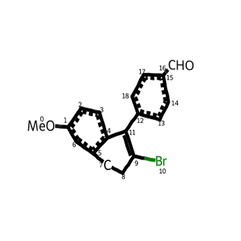 COc1ccc2c(c1)CCC(Br)=C2c1ccc(C=O)cc1